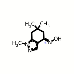 Cn1ncc2c1CC(C)(C)C/C2=N\O